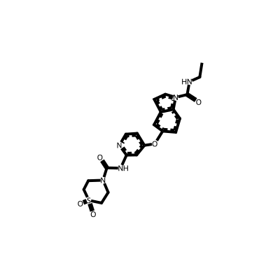 CCNC(=O)n1ccc2cc(Oc3ccnc(NC(=O)N4CCS(=O)(=O)CC4)c3)ccc21